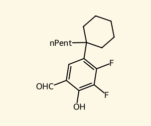 CCCCCC1(c2cc(C=O)c(O)c(F)c2F)CCCCC1